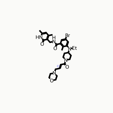 CCN(c1cc(Br)cc(C(=O)NCc2c(C)cc(C)[nH]c2=O)c1C)C1CCN(C(=O)/C=C/CN2CCOCC2)CC1